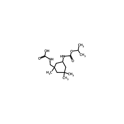 CC(C)OC(=O)NC1CC(C)(C)CC(C)(CNC(=O)O)C1